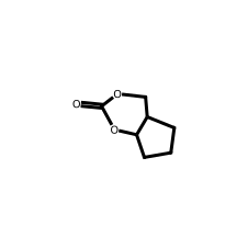 O=C1OCC2CCCC2O1